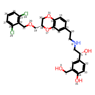 OCc1cc([C@@H](O)CNCCc2ccc3c(c2)O[C@H](COCc2c(Cl)cccc2Cl)CO3)ccc1O